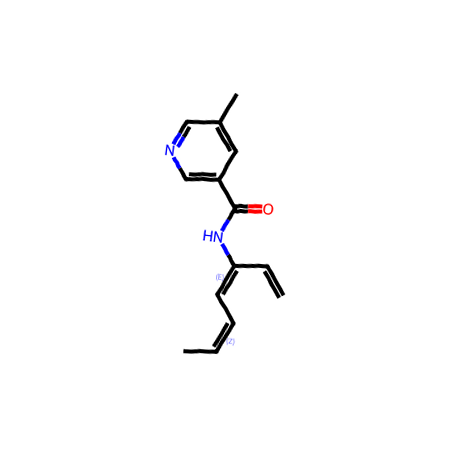 C=C/C(=C\C=C/C)NC(=O)c1cncc(C)c1